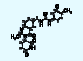 Cc1ccc(NC(=O)NCc2ccc3nc(C)n(C4CCC(=O)NC4=O)c(=O)c3c2)cc1Cl